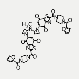 CN(C1CCN1C1=CC(=O)c2sc(C(=O)N3CCN(C(=O)c4ccco4)CC3)nc2C1=O)C1CCN1C1=CC(=O)c2sc(C(=O)N3CCN(C(=O)c4ccco4)CC3)nc2C1=O